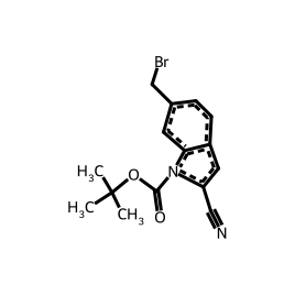 CC(C)(C)OC(=O)n1c(C#N)cc2ccc(CBr)cc21